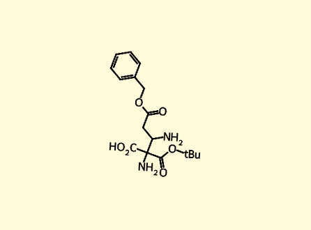 CC(C)(C)OC(=O)C(N)(C(=O)O)C(N)CC(=O)OCc1ccccc1